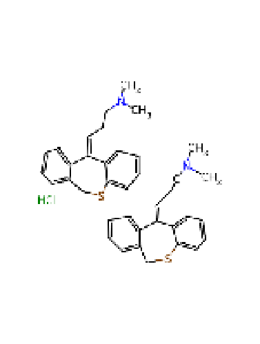 CN(C)CC/C=C1/c2ccccc2CSc2ccccc21.CN(C)CC/C=C1/c2ccccc2CSc2ccccc21.Cl